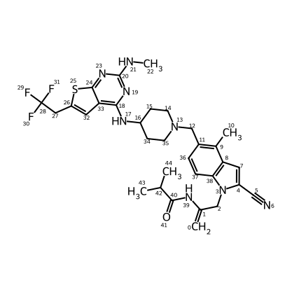 C=C(Cn1c(C#N)cc2c(C)c(CN3CCC(Nc4nc(NC)nc5sc(CC(F)(F)F)cc45)CC3)ccc21)NC(=O)C(C)C